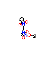 CC1(C)C(=O)N(COCC[Si](C)(C)C)C(=O)N1CCCCN1C(=O)c2ccccc2C1=O